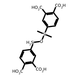 C[Si](C)(O[SiH2]c1ccc(C(=O)O)c(C(=O)O)c1)c1ccc(C(=O)O)c(C(=O)O)c1